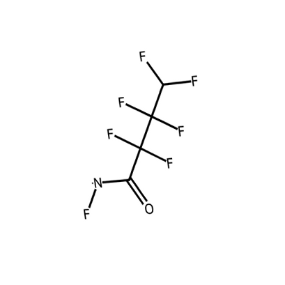 O=C([N]F)C(F)(F)C(F)(F)C(F)F